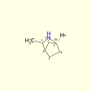 CC1N[C@H]2CCC1C2